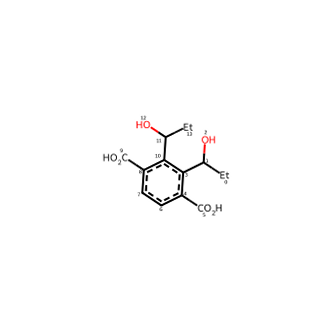 CCC(O)c1c(C(=O)O)ccc(C(=O)O)c1C(O)CC